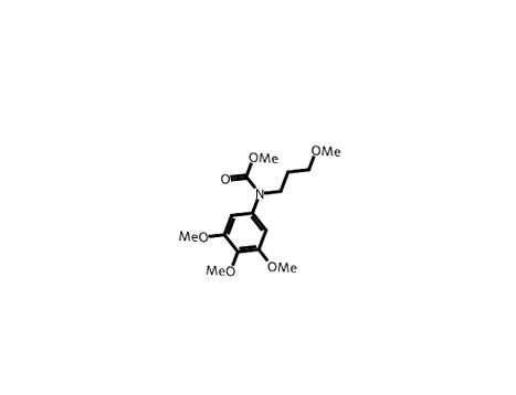 COCCCN(C(=O)OC)c1cc(OC)c(OC)c(OC)c1